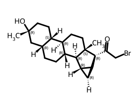 C[C@@]1(O)CC[C@H]2[C@H](CC[C@@H]3[C@@H]2CC[C@@]2(C)[C@H]3[C@@H]3C4[C@@H]3[C@]42C(=O)CBr)C1